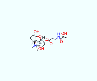 Cc1ccc(O)c2c1[C@]13CCN(C)[C@H](C)[C@]1(O)CC=C(OC(=O)CCNC(=O)[C@H](C)O)[C@@H]3O2